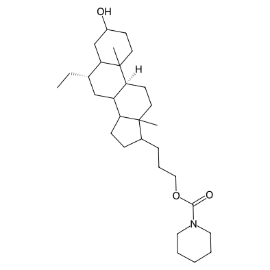 CC[C@H]1CC2C3CCC(CCCOC(=O)N4CCCCC4)C3(C)CC[C@@H]2C2(C)CCC(O)CC12